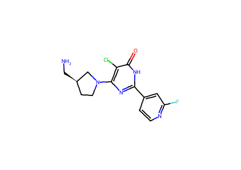 NC[C@@H]1CCN(c2nc(-c3ccnc(F)c3)[nH]c(=O)c2Cl)C1